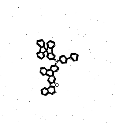 c1ccc(-c2ccc(N(c3ccc4c(c3)-c3ccccc3C43c4ccccc4-c4ccccc43)c3ccc4c(c3)c3ccccc3c3cc5c(cc43)oc3ccc4ccccc4c35)cc2)cc1